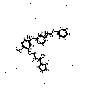 COc1ccc(Nc2nccc(NCCc3ccccn3)n2)cc1OCCC(=O)N1CCCC1